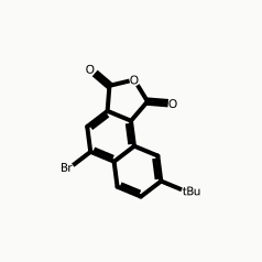 CC(C)(C)c1ccc2c(Br)cc3c(c2c1)C(=O)OC3=O